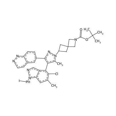 Cc1cc2c(cnn2PI)c(-c2c(-c3ccc4nnccc4c3)nn(C3CC4(C3)CN(C(=O)OC(C)(C)C)C4)c2C)c1Cl